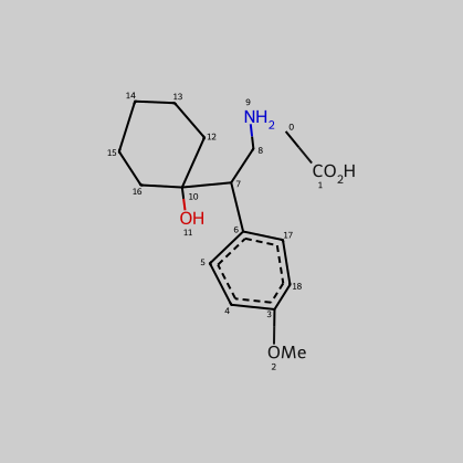 CC(=O)O.COc1ccc(C(CN)C2(O)CCCCC2)cc1